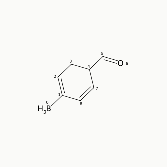 BC1=CCC(C=O)C=C1